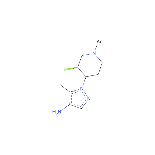 CC(=O)N1CCC(n2ncc(N)c2C)[C@@H](F)C1